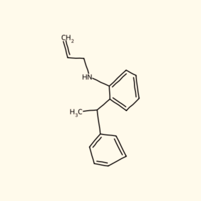 C=CCNc1ccccc1C(C)c1ccccc1